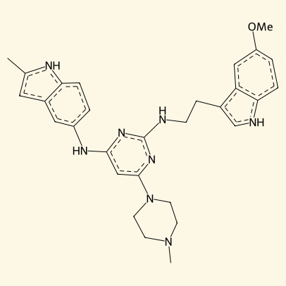 COc1ccc2[nH]cc(CCNc3nc(Nc4ccc5[nH]c(C)cc5c4)cc(N4CCN(C)CC4)n3)c2c1